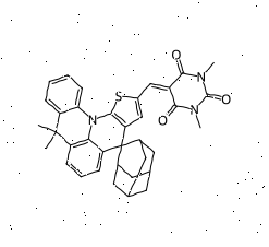 CN1C(=O)C(=Cc2cc3c(s2)N2c4ccccc4C(C)(C)c4cccc(c42)C32C3CC4CC(C3)CC2C4)C(=O)N(C)C1=O